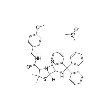 COc1ccc(CNC(=O)C2N3C(=O)C(NC(c4ccccc4)(c4ccccc4)c4ccccc4)[C@H]3SC2(C)C)cc1.C[S+](C)[O-]